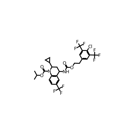 CC(C)OC(=O)N1c2ccc(C(F)(F)F)cc2C(NC(=O)OCCc2cc(C(F)(F)F)c(Cl)c(C(F)(F)F)c2)CC1C1CC1